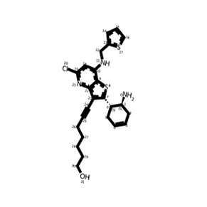 N[C@H]1CC=CC[C@@H]1c1sc2c(NCc3cccs3)cc(Cl)nc2c1C#CCCCCCO